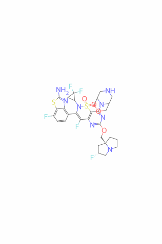 Nc1nc2c(C3=C(F)c4nc(OC[C@@]56CCCN5C[C@H](F)C6)nc(N5C6CNCC5COC6)c4S(=O)(=O)N3C3CC3(F)F)ccc(F)c2s1